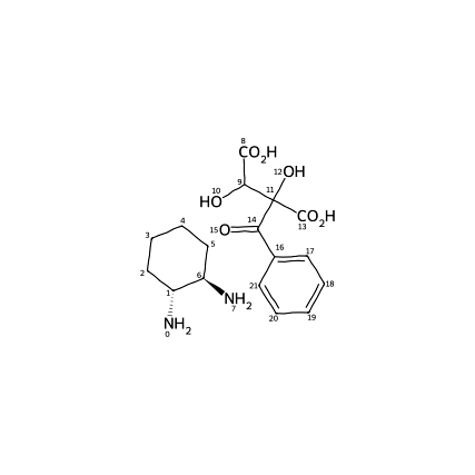 N[C@@H]1CCCC[C@H]1N.O=C(O)C(O)C(O)(C(=O)O)C(=O)c1ccccc1